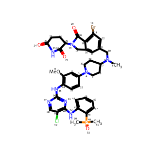 COc1cc(N2CCC(N(C)Cc3cc(Br)c4c(c3)CN(C3CCC(=O)NC3=O)C4=O)CC2)ccc1Nc1ncc(Cl)c(Nc2ccccc2P(C)(C)=O)n1